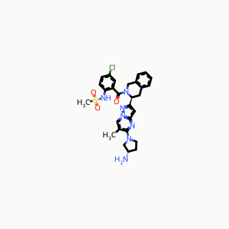 Cc1cn2nc([C@@H]3Cc4ccccc4CN3C(=O)c3cc(Cl)ccc3NS(C)(=O)=O)cc2nc1N1CC[C@H](N)C1